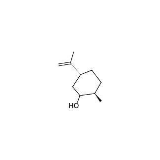 C=C(C)[C@@H]1CC[C@@H](C)C(O)C1